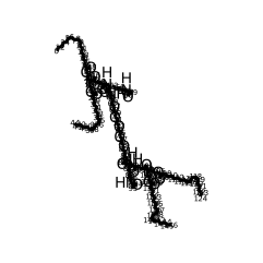 CCCCC/C=C\C/C=C\CCCCCCCC(=O)OCCN(CCOC(=O)CCCCCCC/C=C\C/C=C\CCCCC)C(=O)CCC(=O)N[C@@H](CCCCNC(C)=O)C(=O)NCCCOCCOCCOCCOCCOCCCNC(=O)[C@H](CCCCNC(C)=O)NC(=O)CCC(=O)N(CCOC(=O)CCCCCCC/C=C\C/C=C\CCCCC)CCOC(=O)CCCCCCC/C=C\C/C=C\CCCCC